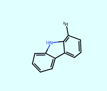 [2H]c1cccc2c1[nH]c1ccccc12